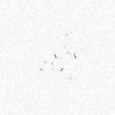 [2H]C([2H])([2H])SC[C@H](NC(=O)[C@H](CC(=O)OC)NC(=O)OC(C)(C)C)C(=O)OC